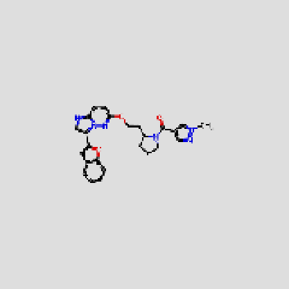 Cn1cc(C(=O)N2CCCC2CCOc2ccc3ncc(-c4cc5ccccc5o4)n3n2)cn1